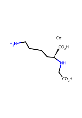 NCCCC[C@H](NCC(=O)O)C(=O)O.[Co]